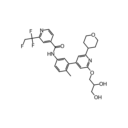 Cc1ccc(NC(=O)c2ccnc(C(F)(F)CF)c2)cc1-c1cc(OCC(O)CO)nc(C2CCOCC2)c1